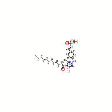 CCCCCCCCCCCC(=O)c1c(C)cn(Cc2ccc(/C=C/C(=O)O)cc2)c1C